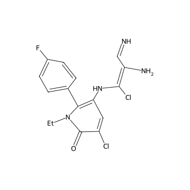 CCn1c(-c2ccc(F)cc2)c(N/C(Cl)=C(/N)C=N)cc(Cl)c1=O